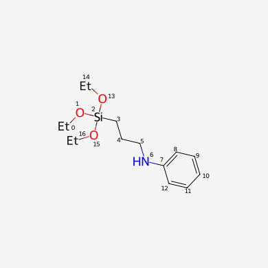 CCO[Si](CCCNc1ccccc1)(OCC)OCC